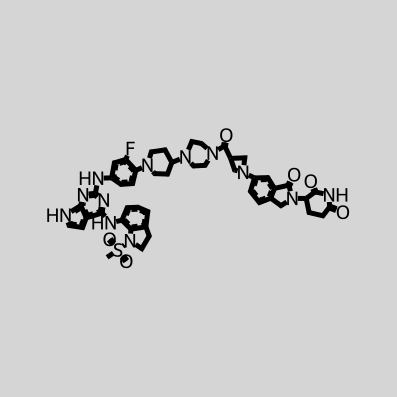 CS(=O)(=O)N1CCc2cccc(Nc3nc(Nc4ccc(N5CCC(N6CCN(C(=O)C7CN(c8ccc9c(c8)C(=O)N(C8CCC(=O)NC8=O)C9)C7)CC6)CC5)c(F)c4)nc4[nH]ccc34)c21